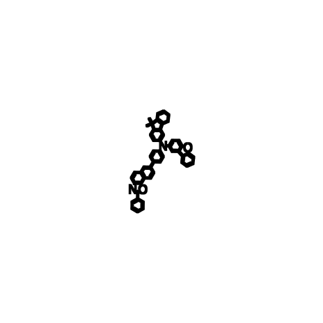 CC1(C)C2=C(CCC=C2)c2cc(N(c3ccc(-c4ccc5c(ccc6nc(-c7ccccc7)oc65)c4)cc3)c3ccc4oc5ccccc5c4c3)ccc21